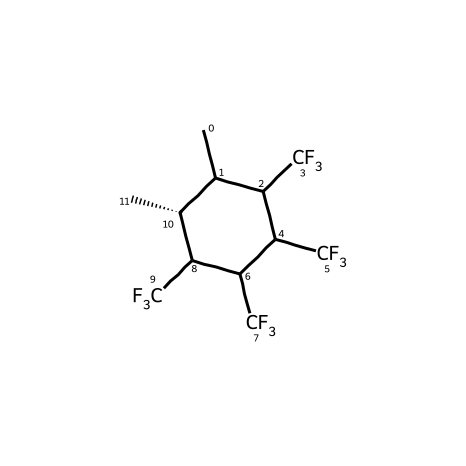 CC1C(C(F)(F)F)C(C(F)(F)F)C(C(F)(F)F)C(C(F)(F)F)[C@@H]1C